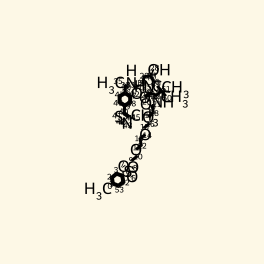 Cc1ccc(S(=O)(=O)OCCOCCOCCOCC(=O)N[C@H](C(=O)N2C[C@H](O)C[C@H]2C(=O)N[C@@H](C)c2ccc(-c3scnc3C)cc2)C(C)(C)C)cc1